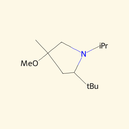 COC1(C)CC(C(C)(C)C)N(C(C)C)C1